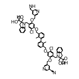 Cc1c(COc2cc(OCc3cncc(C#N)c3)c(CNC(CO)(Cc3ccccc3)C(=O)O)cc2Cl)cccc1-c1cccc(COc2cc(OCc3cncc(C=N)c3)c(CNC(CO)(Cc3ccccc3)C(=O)O)cc2Cl)c1C